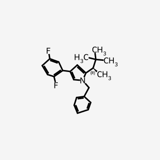 C[C@@H](c1cc(-c2cc(F)ccc2F)cn1Cc1ccccc1)C(C)(C)C